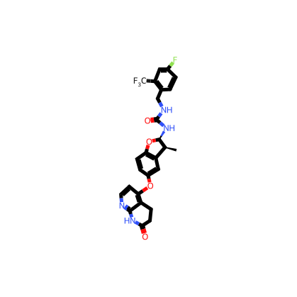 C[C@H]1c2cc(Oc3ccnc4c3CCC(=O)N4)ccc2O[C@H]1NC(=O)NCc1ccc(F)cc1C(F)(F)F